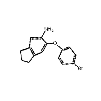 Nc1cc2c(cc1Oc1ccc(Br)cc1)CCC2